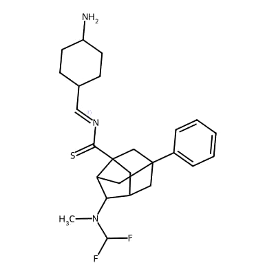 CN(C(F)F)C1C2CC3(c4ccccc4)CC1C(C(=S)/N=C/C1CCC(N)CC1)(C2)C3